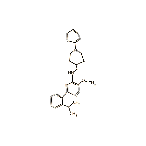 COc1cnc(-c2ccccc2C(C)C)nc1NCC1CCN(c2ccccn2)CC1